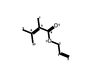 C=CCOC(=O)C(C)=C(C)C